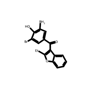 Bc1cc(C(=O)c2c(CC)oc3ccccc23)cc(Br)c1O